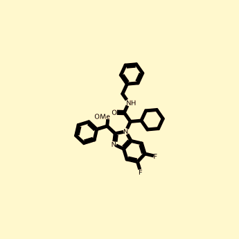 COC(c1ccccc1)c1nc2cc(F)c(F)cc2n1C(C(=O)NCc1ccccc1)C1CCCCC1